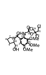 COc1cc(C(=O)N2CCCC2CO)c(NC(=O)OC(Cl)(Cl)CCl)c(OC)c1OC